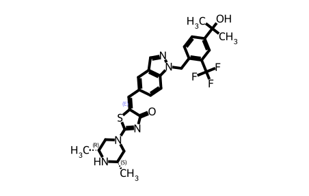 C[C@@H]1CN(C2=NC(=O)/C(=C\c3ccc4c(cnn4Cc4ccc(C(C)(C)O)cc4C(F)(F)F)c3)S2)C[C@H](C)N1